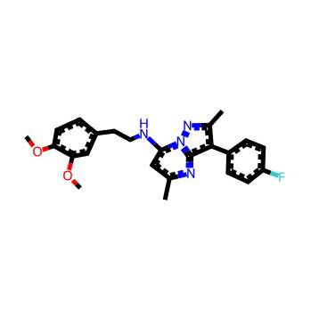 COc1ccc(CCNc2cc(C)nc3c(-c4ccc(F)cc4)c(C)nn23)cc1OC